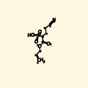 C=CCOC(=O)C(CCC#N)S(=O)(=O)O